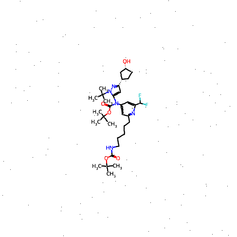 CC(C)(C)OC(=O)NCCCCCc1cc(N(C(=O)OC(C)(C)C)c2cc([C@H]3CC[C@@H](O)C3)nn2C(C)(C)C)cc(C(F)F)n1